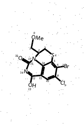 COCC1CSc2c(Br)c(Cl)cc3c(O)nc(=O)n1c23